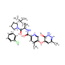 Cc1cc(Oc2cnc(C(=O)NC(C)C(=O)N3[C@H](c4cccc(Cl)c4)CC[C@@H]3C(C)(C)C#N)cc2C)c(=O)[nH]n1